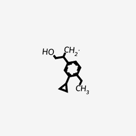 [CH2]C(CO)c1ccc(CC)c(C2CC2)c1